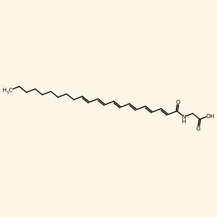 CCCCCCCCCC=CC=CC=CC=CC=CC=CC(=O)NCC(=O)O